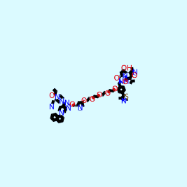 C=CC(=O)N1CCN(c2nc(OC[C@@H]3C[C@@H](OCCOCCOCCOCCOc4cc(-c5scnc5C)ccc4CNC(=O)[C@@H]4C[C@@H](O)CN4C(=O)[C@H](c4cc(C)no4)C(C)C)CN3C)nc3c2CCN(c2cccc4ccccc24)C3)C[C@@H]1CC#N